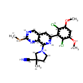 COc1cc(OC)c(Cl)c(-c2cc3cnc(SC)nc3c(N3CCC(C)(C#N)C3)n2)c1Cl